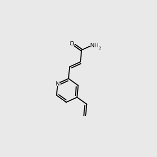 C=Cc1ccnc(C=CC(N)=O)c1